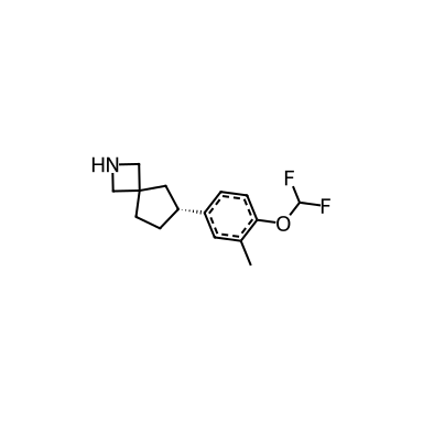 Cc1cc([C@@H]2CCC3(CNC3)C2)ccc1OC(F)F